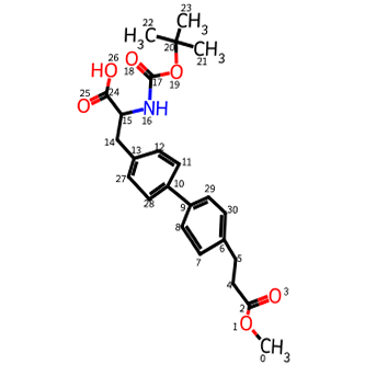 COC(=O)CCc1ccc(-c2ccc(CC(NC(=O)OC(C)(C)C)C(=O)O)cc2)cc1